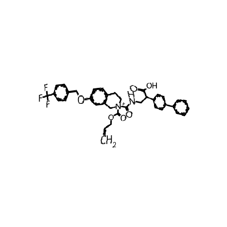 C=CCOC(=O)[N+]1(C(=O)NCC(C(=O)O)c2ccc(-c3ccccc3)cc2)CCc2ccc(OCc3ccc(C(F)(F)F)cc3)cc2C1